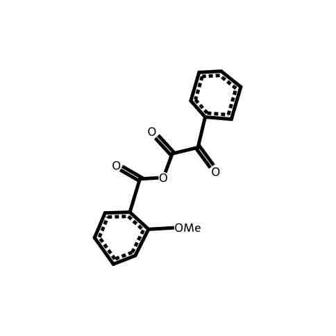 COc1ccccc1C(=O)OC(=O)C(=O)c1ccccc1